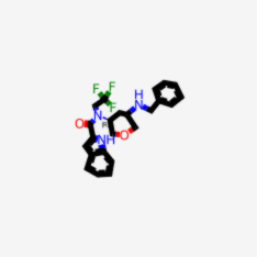 O=C(c1cc2ccccc2[nH]1)N(CC(F)(F)F)[C@H]1COCC(NCc2ccccc2)C1